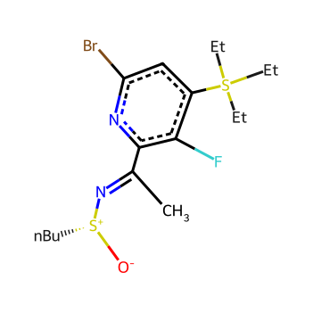 CCCC[S@@+]([O-])/N=C(\C)c1nc(Br)cc(S(CC)(CC)CC)c1F